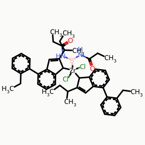 CCC(=O)N[B](NC(=O)CC)[Zr]([Cl])([Cl])([CH]1C(C(C)CC)=Cc2c(-c3ccccc3CC)cccc21)[CH]1C(C(C)CC)=Cc2c(-c3ccccc3CC)cccc21